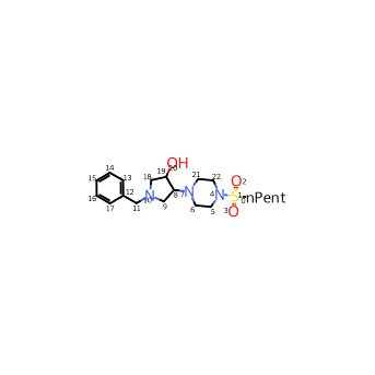 CCCCCS(=O)(=O)N1CCN(C2CN(Cc3ccccc3)CC2O)CC1